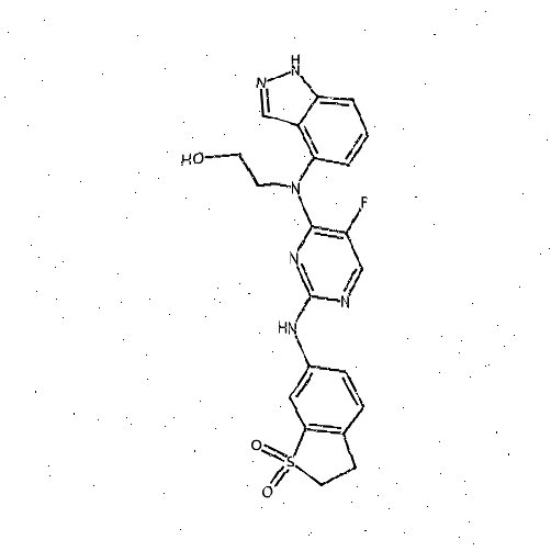 O=S1(=O)CCc2ccc(Nc3ncc(F)c(N(CCO)c4cccc5[nH]ncc45)n3)cc21